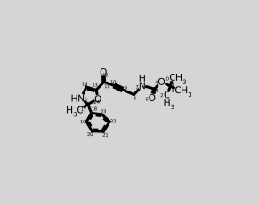 CC(C)(C)OC(=O)NCC#CC(=O)C1=CNC(C)(c2ccccc2)O1